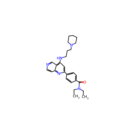 CCN(CC)C(=O)c1ccc(-c2cc(NCCCN3CCCCC3)c3cnccc3n2)cc1